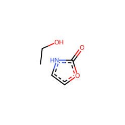 CCO.O=c1[nH]cco1